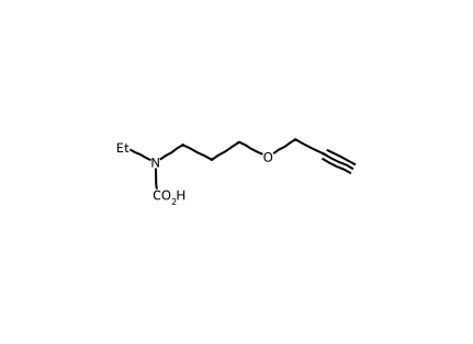 C#CCOCCCN(CC)C(=O)O